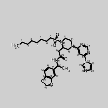 CCCCCCCCS(=O)(=O)N1CCN(c2cc(-n3ccnc3)ncn2)CC1CC(=O)NC(C)c1ccc2c(c1)OCO2